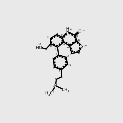 CN(C)CCc1ccc(-c2c(CO)ccc3[nH]c(=O)c4sccc4c23)cc1